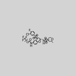 CC1CN(S(=O)(=O)NC[C@H]2CN(S(=O)(=O)c3ccc(F)c(Cl)c3)c3cc(NC(=O)OC(C)(C)C(F)(F)F)ccc3O2)CCO1